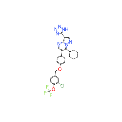 FC(F)(F)Oc1ccc(COc2ccc(-c3cnc4c(-c5nnn[nH]5)cnn4c3C3CCCCC3)cc2)cc1Cl